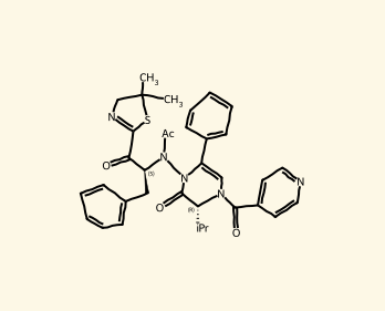 CC(=O)N([C@@H](Cc1ccccc1)C(=O)C1=NCC(C)(C)S1)N1C(=O)[C@@H](C(C)C)N(C(=O)c2ccncc2)C=C1c1ccccc1